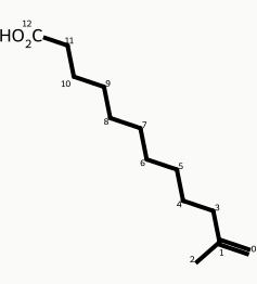 C=C(C)CCCCCCCCCC(=O)O